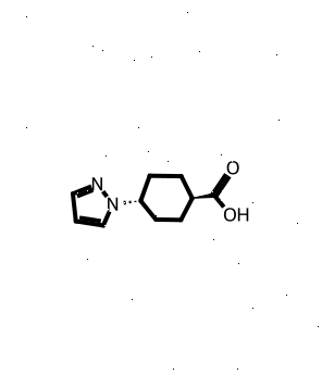 O=C(O)[C@H]1CC[C@H](n2cccn2)CC1